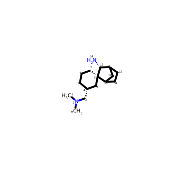 CN(C)C[C@@H]1CCC[C@@]2(C1)C1CCC(C1)[C@H]2N